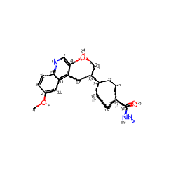 COc1ccc2ncc3c(c2c1)CC(C1CCC(C(N)=O)CC1)CO3